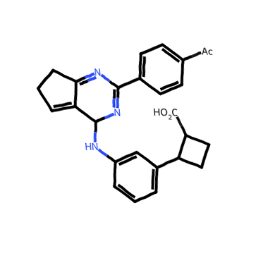 CC(=O)c1ccc(C2=NC(Nc3cccc(C4CCC4C(=O)O)c3)C3=CCCC3=N2)cc1